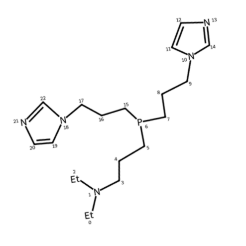 CCN(CC)CCCP(CCCn1ccnc1)CCCn1ccnc1